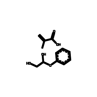 C=C(C)C(=O)O.OCC(O)Oc1ccccc1